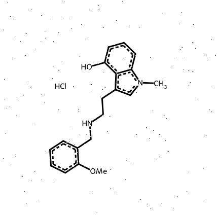 COc1ccccc1CNCCc1cn(C)c2cccc(O)c12.Cl